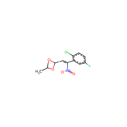 CC1OC(C=C(c2cc(F)ccc2Cl)[N+](=O)[O-])O1